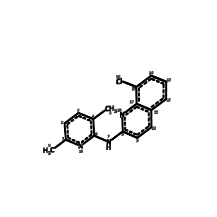 Cc1ccc(C)c(Nc2ccc3cccc(Cl)c3n2)n1